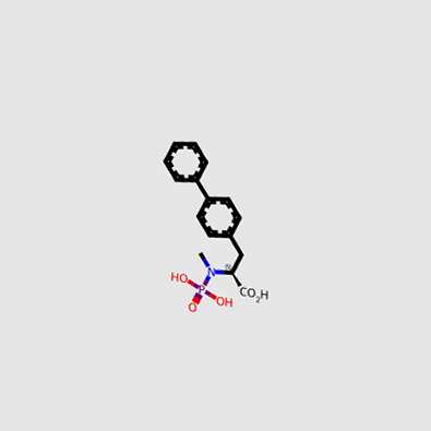 CN([C@@H](Cc1ccc(-c2ccccc2)cc1)C(=O)O)P(=O)(O)O